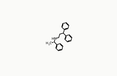 C[C@@H](NCCC(c1ccccc1)c1ccccc1)c1ccccc1